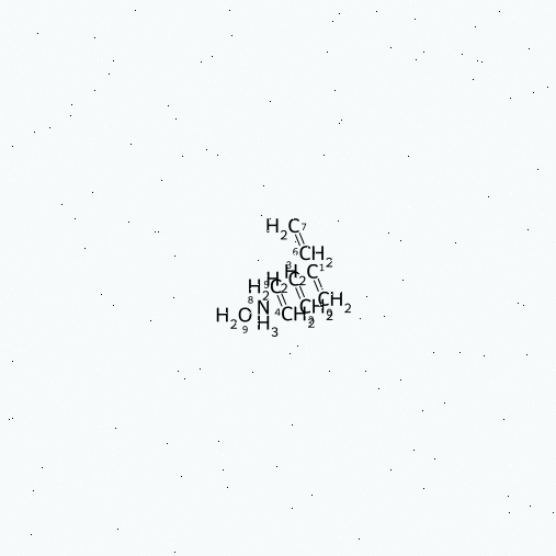 C=C.C=C.C=C.C=C.N.O